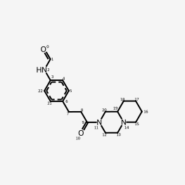 O=CNc1ccc(CCC(=O)N2CCN3CCCCC3C2)cc1